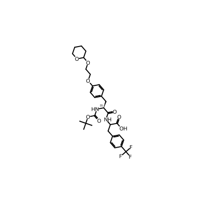 CC(C)(C)OC(=O)N[C@@H](Cc1ccc(OCCOC2CCCCO2)cc1)C(=O)NC(Cc1ccc(C(F)(F)F)cc1)C(=O)O